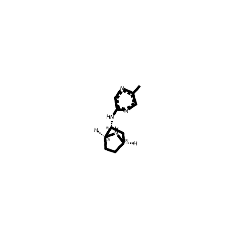 Cc1cnc(N[C@@H]2C[C@H]3CC[C@@H]2N3)cn1